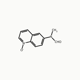 CN(C=O)c1ccc2c(ccc[n+]2[O-])c1